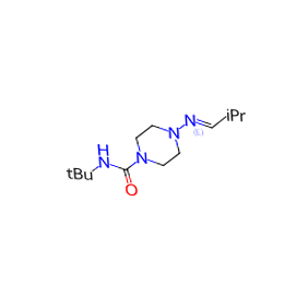 CC(C)/C=N/N1CCN(C(=O)NC(C)(C)C)CC1